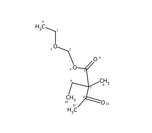 CCOCOC(=O)C(C)(CC)C(C)=O